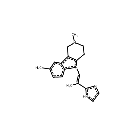 C/C(=C\n1c2c(c3cc(C)ccc31)CN(C)CC2)c1ncc[nH]1